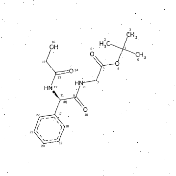 CC(C)(C)OC(=O)CNC(=O)[C@H](NC(=O)CO)c1ccccc1